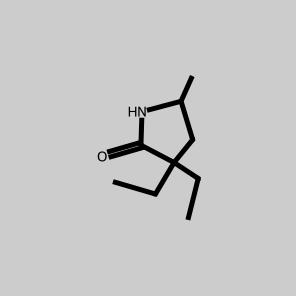 CCC1(CC)CC(C)NC1=O